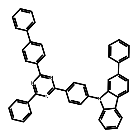 c1ccc(-c2ccc(-c3nc(-c4ccccc4)nc(-c4ccc(-n5c6ccccc6c6ccc(-c7ccccc7)cc65)cc4)n3)cc2)cc1